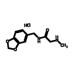 CNCC(=O)NCc1ccc2c(c1)OCO2.Cl